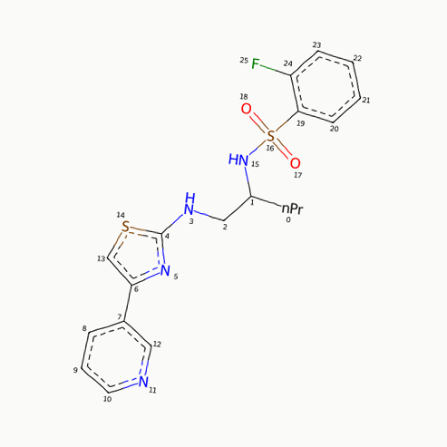 CCCC(CNc1nc(-c2cccnc2)cs1)NS(=O)(=O)c1ccccc1F